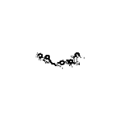 CN(CCCC#Cc1cccc2c1n(C)c(=O)n2C1CCC(=O)NC1=O)CC1CCC(n2cc3cc(NC(=O)c4cccc(C(F)(F)F)n4)c(C(C)(C)O)cc3n2)CC1